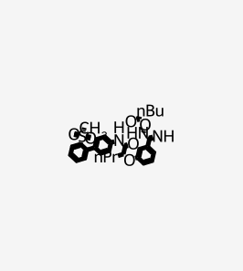 CCCCC(=O)ONC(=N)c1cccc(OC(CCC)C(=O)Nc2ccc(-c3ccccc3S(C)(=O)=O)cc2)c1